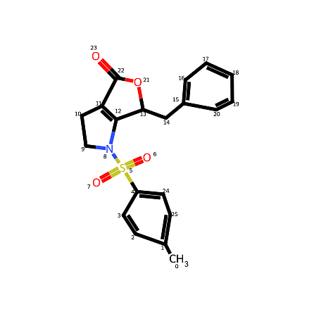 Cc1ccc(S(=O)(=O)N2CCC3=C2C(Cc2ccccc2)OC3=O)cc1